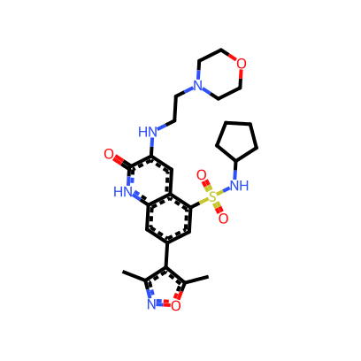 Cc1noc(C)c1-c1cc(S(=O)(=O)NC2CCCC2)c2cc(NCCN3CCOCC3)c(=O)[nH]c2c1